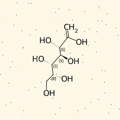 C=C(O)[C@@H](O)[C@@H](O)[C@@H](O)[C@H](O)CO